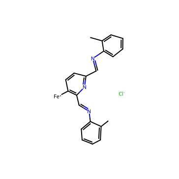 Cc1ccccc1N=Cc1cc[c]([Fe+])c(C=Nc2ccccc2C)n1.[Cl-]